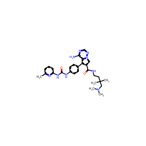 Cc1cccc(NC(=O)Nc2ccc(-c3c(C(=O)NCCC(C)(C)CN(C)C)cn4ncnc(N)c34)cc2)n1